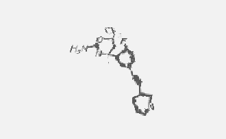 C[C@@]1(c2cc(C#Cc3cccnc3)ccc2F)C[C@@H](C(F)(F)F)OC(N)=N1